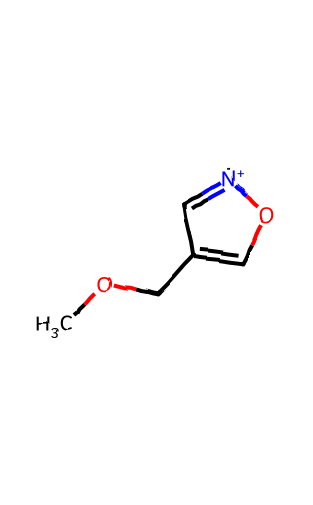 COCC1=CO[N+]=C1